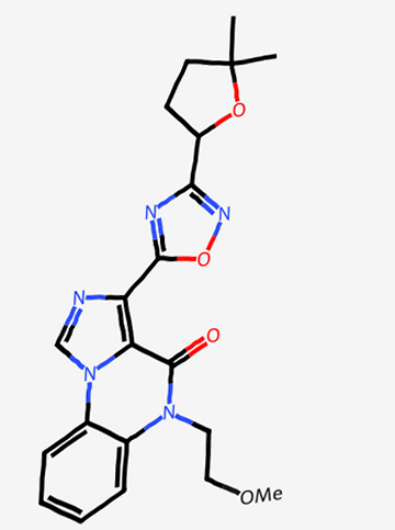 COCCn1c(=O)c2c(-c3nc(C4CCC(C)(C)O4)no3)ncn2c2ccccc21